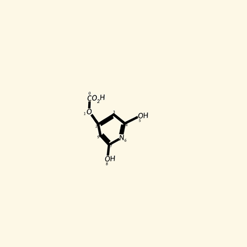 O=C(O)Oc1cc(O)nc(O)c1